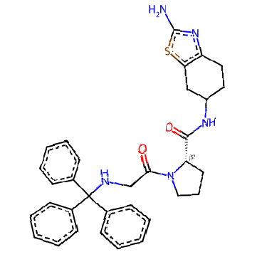 Nc1nc2c(s1)CC(NC(=O)[C@@H]1CCCN1C(=O)CNC(c1ccccc1)(c1ccccc1)c1ccccc1)CC2